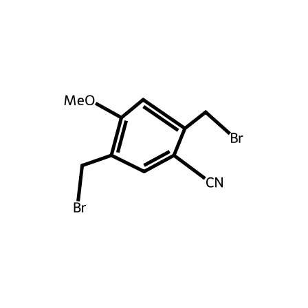 COc1cc(CBr)c(C#N)cc1CBr